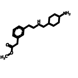 COC(=O)Cc1cccc(CCNCC2CCC(N)CC2)c1